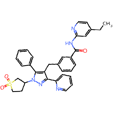 CCc1ccnc(NC(=O)c2cccc(Cc3c(-c4ccccn4)nn(C4CCS(=O)(=O)C4)c3-c3ccccc3)c2)c1